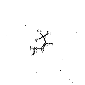 CNN=C(C)C(F)(F)F